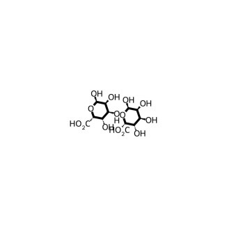 O=C(O)[C@@H]1O[C@@H](O)[C@@H](O)[C@@H](O)[C@@H]1O.O=C(O)[C@@H]1O[C@@H](O)[C@@H](O)[C@@H](O)[C@@H]1O